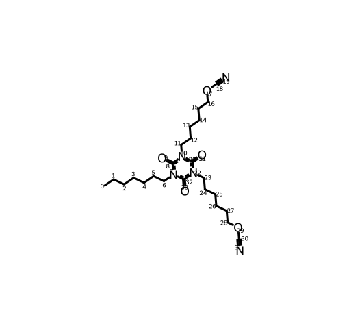 CCCCCCCn1c(=O)n(CCCCCCOC#N)c(=O)n(CCCCCCOC#N)c1=O